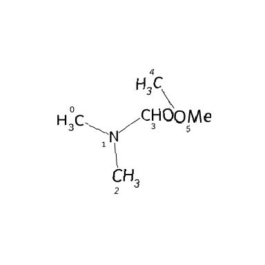 CN(C)C=O.COC